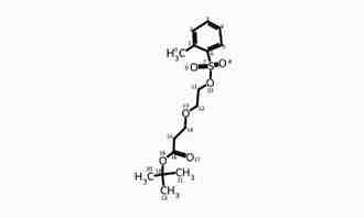 Cc1ccccc1S(=O)(=O)OCCOCCC(=O)OC(C)(C)C